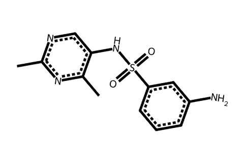 Cc1ncc(NS(=O)(=O)c2cccc(N)c2)c(C)n1